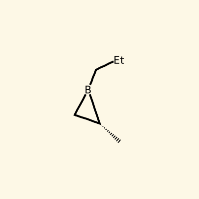 CCCB1C[C@H]1C